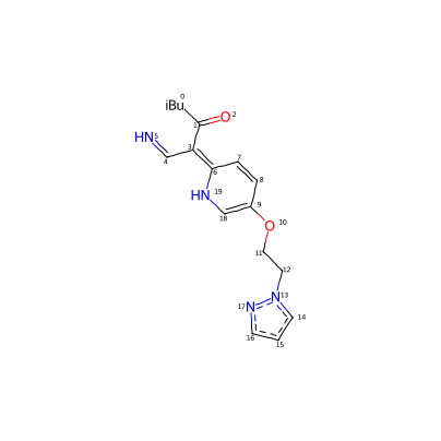 CCC(C)C(=O)/C(C=N)=C1\C=CC(OCCn2cccn2)=CN1